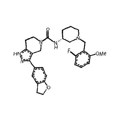 COc1cccc(F)c1CN1CCC[C@@H](NC(=O)N2CCc3[nH]nc(-c4ccc5c(c4)CCO5)c3C2)C1